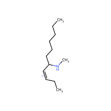 CC/C=C\C(CCCCCC)NC